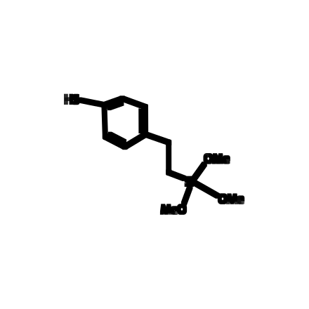 CO[Si](CCc1ccc(S)cc1)(OC)OC